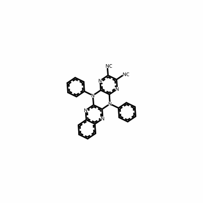 [C-]#[N+]c1nc2c(nc1[N+]#[C-])N(c1ccccc1)c1nc3ccccc3nc1N2c1ccccc1